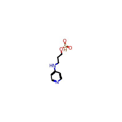 O=[SH](=O)OCCCNc1ccncc1